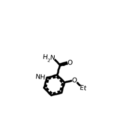 CCOc1ccccc1C(N)=O.N